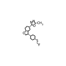 Cc1nnc(-c2ccc3occ(-c4ccc(SCF)cc4)c3c2)o1